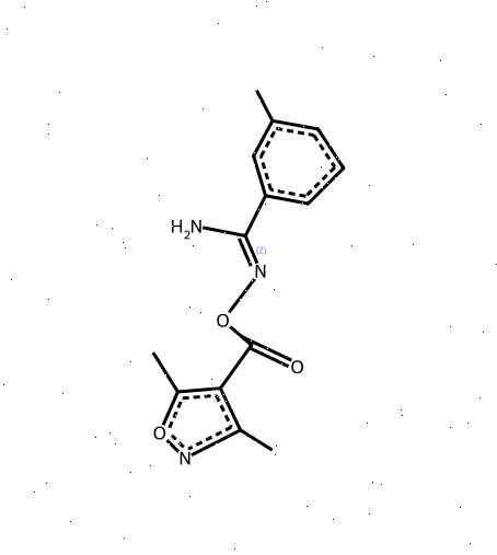 Cc1cccc(/C(N)=N/OC(=O)c2c(C)noc2C)c1